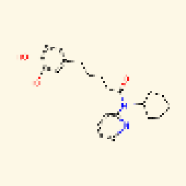 O=C(CCCCc1ccc(O)c(O)c1)N(c1ccccn1)C1CCCCC1